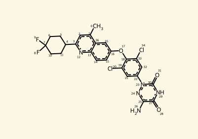 Cc1cc(C2CCC(F)(F)CC2)nc2ccc(Oc3c(Cl)cc(-n4nc(N)c(=O)[nH]c4=O)cc3Cl)cc12